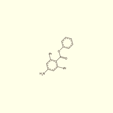 CC(C)c1cc(N)cc(C(C)C)c1C(=O)Oc1ccccc1